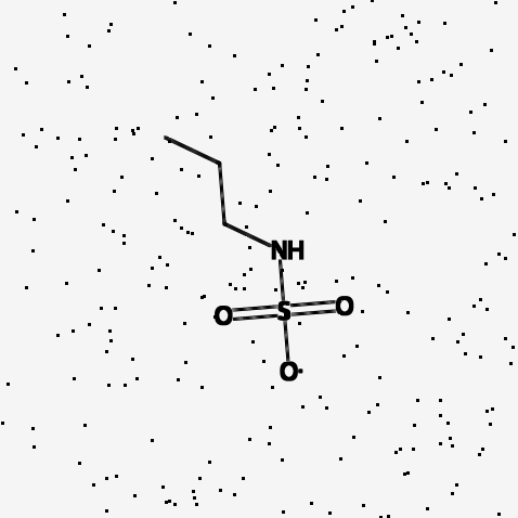 CCCNS([O])(=O)=O